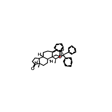 C[C@@H]1CC(=O)C=C2CC[C@@H]3[C@H](CC[C@]4(C)C(=O)CC[C@@H]34)[C@]21CO[Si](c1ccccc1)(c1ccccc1)c1ccccc1